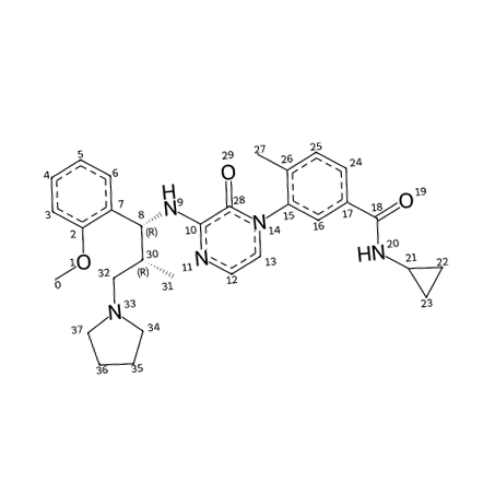 COc1ccccc1[C@H](Nc1nccn(-c2cc(C(=O)NC3CC3)ccc2C)c1=O)[C@H](C)CN1CCCC1